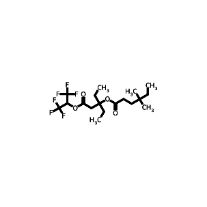 CCC(C)(C)CCC(=O)OC(CC)(CC)CC(=O)OC(C(F)(F)F)C(F)(F)F